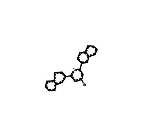 Brc1cc(-c2ccc3ccccc3c2)nc(-c2ccc3ccccc3c2)c1